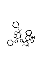 CCC(Cc1ccccc1)(C(=O)O)C(=O)O.O=C(/C=C\C(=O)OC1CCCCC1)OC1CCCCC1